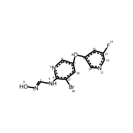 O/N=C/Nc1ncc(Oc2cncc(F)c2)cc1Br